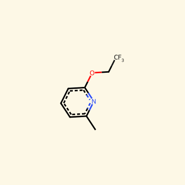 Cc1cccc(OCC(F)(F)F)n1